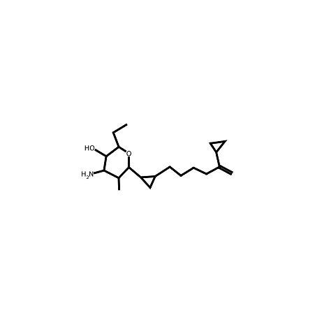 C=C(CCCCC1CC1C1OC(CC)C(O)C(N)C1C)C1CC1